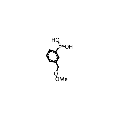 COOCc1cccc(B(O)O)c1